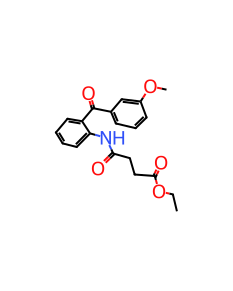 CCOC(=O)CCC(=O)Nc1ccccc1C(=O)c1cccc(OC)c1